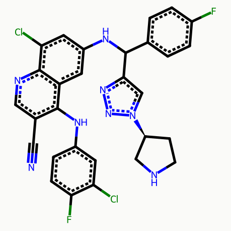 N#Cc1cnc2c(Cl)cc(NC(c3ccc(F)cc3)c3cn([C@H]4CCNC4)nn3)cc2c1Nc1ccc(F)c(Cl)c1